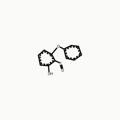 O=Pc1c(O)cccc1Oc1ccccc1